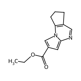 CCOC(=O)c1cc2ncc3c(n2c1)CCC3